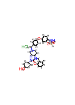 Cc1ccccc1CN(C(=O)N[C@H]1CC[C@@H](O)CC1)C1CCN(Cc2ccc(Oc3ccc(NS(C)(=O)=O)cc3)cc2)CC1.Cl